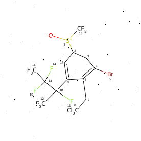 [O-][S+](C1[CH]C(Br)=C(CC(Cl)(Cl)Cl)C(C(F)(C(F)(F)F)C(F)(F)C(F)(F)F)=C1)C(F)(F)F